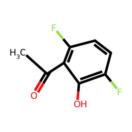 CC(=O)c1c(F)ccc(F)c1O